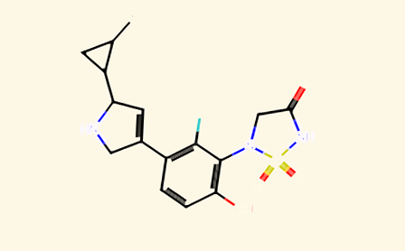 CC1CC1C1C=C(c2ccc(O)c(N3CC(=O)NS3(=O)=O)c2F)CN1